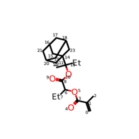 C=C(C)C(=O)OC(CC)C(=O)OC(C)(CC)C12CC3CC(CC(C3)C1)C2